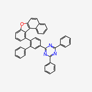 c1ccc(-c2nc(-c3ccccc3)nc(-c3ccc(-c4cccc5oc6ccc7ccccc7c6c45)c(-c4ccccc4)c3)n2)cc1